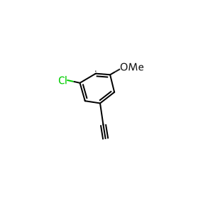 C#Cc1cc(Cl)[c]c(OC)c1